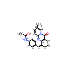 CC(=O)Nc1ccc(/C=C2/CCCc3c2nc2ccc(C)cn2c3=O)cc1